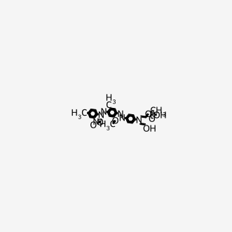 COc1cc(/N=N/c2ccc(C)cc2[N+](=O)[O-])c(C)cc1/N=N/c1ccc(N(CCO)CCOP(C)(=O)O)cc1